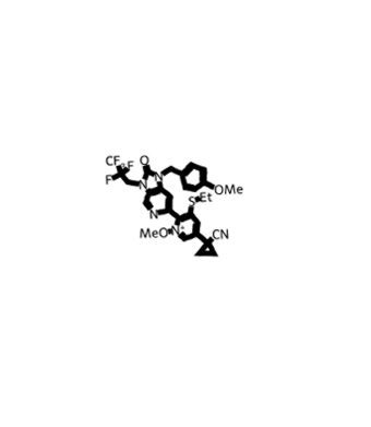 CCSc1cc(C2(C#N)CC2)c[n+](OC)c1-c1cc2c(cn1)n(CC(F)(F)C(F)(F)F)c(=O)n2Cc1ccc(OC)cc1